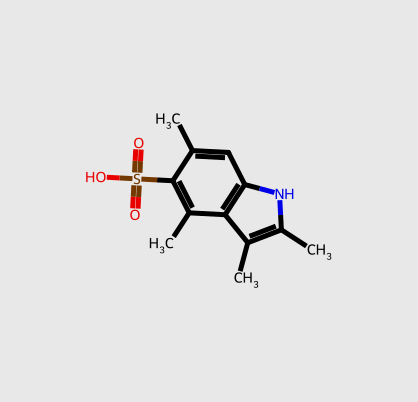 Cc1cc2[nH]c(C)c(C)c2c(C)c1S(=O)(=O)O